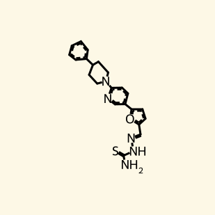 NC(=S)NN=Cc1ccc(-c2ccc(N3CCC(c4ccccc4)CC3)nc2)o1